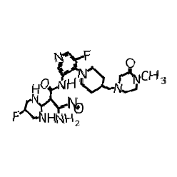 CN1CCN(CC2CCN(c3c(F)cncc3NC(=O)C(C(N)N=O)C3NCC(F)CN3)CC2)CC1=O